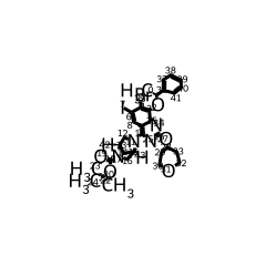 C[C@H](Oc1c(Br)c(I)cc2c(N3C[C@@H]4C[C@H]3CN4C(=O)OC(C)(C)C)nc(OC3CCOCC3)nc12)c1ccccc1